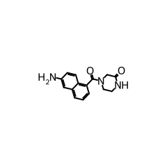 Nc1ccc2c(C(=O)N3CCNC(=O)C3)cccc2c1